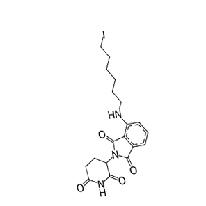 O=C1CCC(N2C(=O)c3cccc(NCCCCCCI)c3C2=O)C(=O)N1